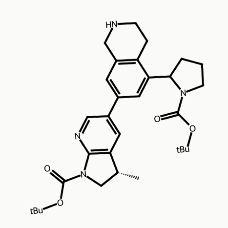 C[C@@H]1CN(C(=O)OC(C)(C)C)c2ncc(-c3cc4c(c(C5CCCN5C(=O)OC(C)(C)C)c3)CCNC4)cc21